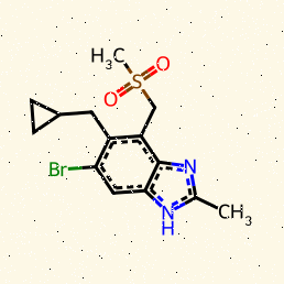 Cc1nc2c(CS(C)(=O)=O)c(CC3CC3)c(Br)cc2[nH]1